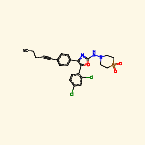 N#CCCC#Cc1ccc(-c2nc(NN3CCS(=O)(=O)CC3)oc2-c2ccc(Cl)cc2Cl)cc1